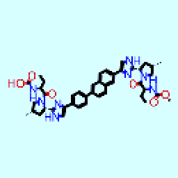 CCC(NC(=O)O)C(=O)N1C[C@@H](C)C[C@H]1c1nc(-c2ccc(-c3ccc4cc(-c5c[nH]c([C@@H]6C[C@H](C)CN6C(=O)C(CC)NC(=O)OC)n5)ccc4c3)cc2)c[nH]1